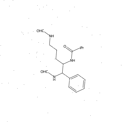 CC(C)C(=O)N[C]([CH]CCNC=O)C(NC=O)c1ccccc1